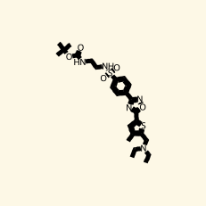 CCN(CC)Cc1sc(-c2nc(-c3ccc(S(=O)(=O)NCCNC(=O)OC(C)(C)C)cc3)no2)cc1C